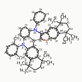 Cc1cccc(C)c1N1c2cc3c(cc2B2c4sc5cc6c(cc5c4N(c4ccccc4)c4cccc1c42)C(C)(C)CCC6(C)C)C(C)(C)CCC3(C)C